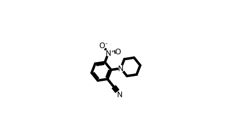 N#Cc1cccc([N+](=O)[O-])c1N1CCCCC1